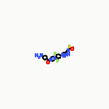 COC(=S)NCc1cn(-c2cc(F)c(N3CCN(C(=O)c4ccc(N)cc4)CC3)c(F)c2)nn1